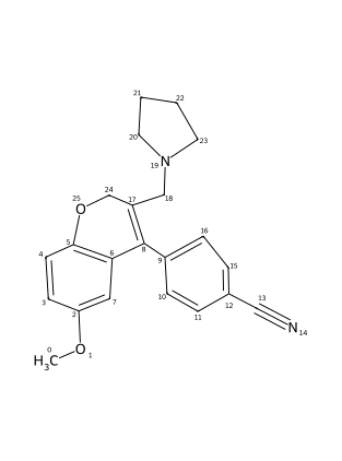 COc1ccc2c(c1)C(c1ccc(C#N)cc1)=C(CN1CCCC1)CO2